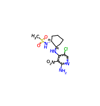 CS(=O)(=O)N[C@@H]1CCCC[C@H]1Nc1c(Cl)cnc(N)c1[N+](=O)[O-]